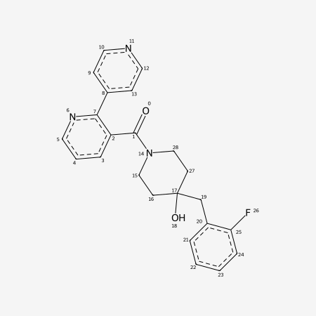 O=C(c1cccnc1-c1ccncc1)N1CCC(O)(Cc2ccccc2F)CC1